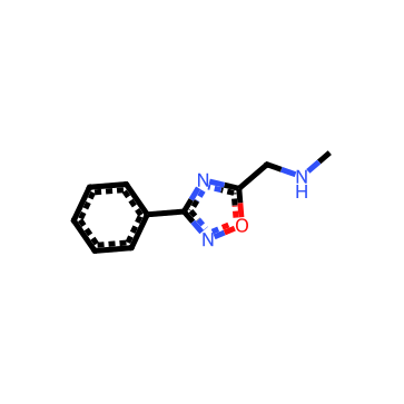 CNCc1nc(-c2ccccc2)no1